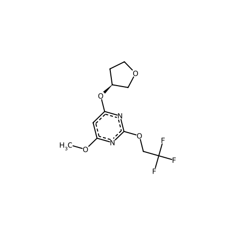 COc1cc(O[C@H]2CCOC2)nc(OCC(F)(F)F)n1